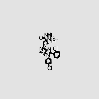 CC(C)NC1(C(N)=O)CN(c2ncnc3c2nc(-c2ccccc2Cl)n3-c2ccc(Cl)cc2)C1